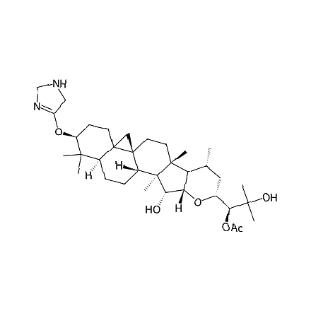 CC(=O)O[C@@H]([C@H]1C[C@@H](C)C2[C@H](O1)[C@H](O)[C@@]1(C)[C@@H]3CC[C@H]4C(C)(C)[C@@H](OC5=NCNC5)CCC45C[C@@]35CC[C@]21C)C(C)(C)O